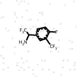 NC(c1ccc(F)c(C(F)(F)F)c1)C(F)(F)F